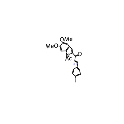 COc1cc2cc(C(=O)/C=C/c3ccc(I)cc3)n(C(C)=O)c2cc1OC